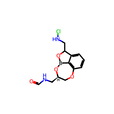 O=CNC[C@@H]1COc2cccc3c2B(OC3CNCl)O1